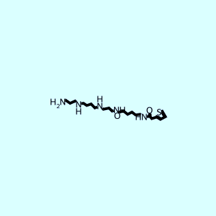 NCCCNCCCCNCCCNC(=O)CCCCCNC(=O)Cc1cccs1